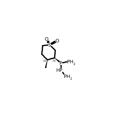 C[C@H]1CCS(=O)(=O)C[C@H]1P(P)PP